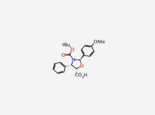 COc1ccc([C@H]2O[C@H](C(=O)O)[C@H](c3ccccc3)N2C(=O)OC(C)(C)C)cc1